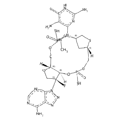 CNN(c1nc(N)[nH]c(=O)c1N)[C@@]12CS[C@H](COP(=O)(S)O[C@@H]3[C@@H](COP(=O)(S)O1)OC[C@@]3(F)n1nnc3c(N)ncnc31)C2